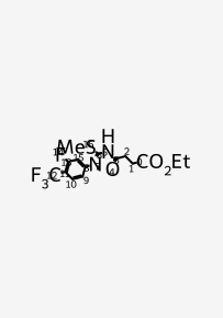 CCOC(=O)CCC(=O)N/C(=N/c1ccc(C(F)(F)F)c(F)c1)SC